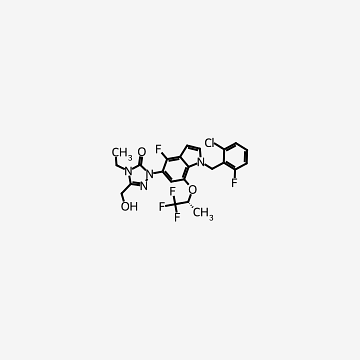 CCn1c(CO)nn(-c2cc(O[C@H](C)C(F)(F)F)c3c(ccn3Cc3c(F)cccc3Cl)c2F)c1=O